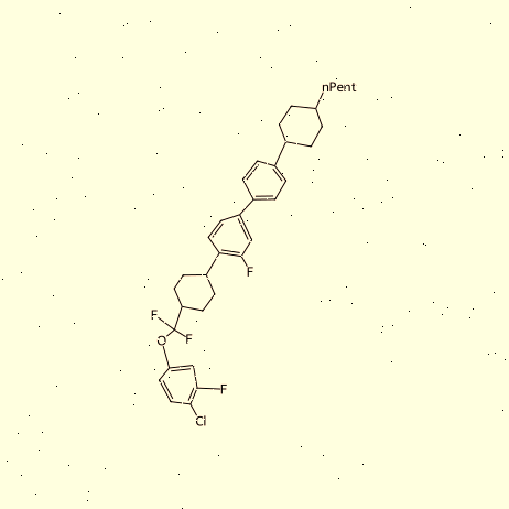 CCCCCC1CCC(c2ccc(-c3ccc(C4CCC(C(F)(F)Oc5ccc(Cl)c(F)c5)CC4)c(F)c3)cc2)CC1